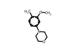 COc1cc(N2CCOCC2)ccc1C